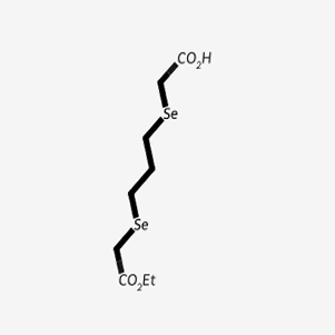 CCOC(=O)C[Se]CCC[Se]CC(=O)O